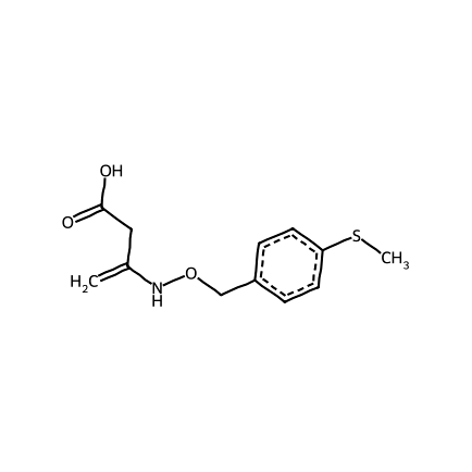 C=C(CC(=O)O)NOCc1ccc(SC)cc1